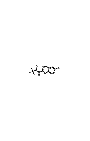 CC(C)(C)C(=O)Nc1ncc2cc(Br)ccc2n1